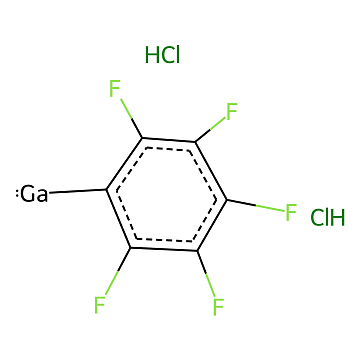 Cl.Cl.Fc1c(F)c(F)[c]([Ga])c(F)c1F